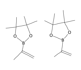 C=C(C)B1OC(C)(C)C(C)(C)O1.C=C(C)B1OC(C)(C)C(C)(C)O1